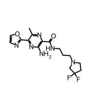 Cc1nc(C(=O)NCCCN2CCC(F)(F)C2)c(N)nc1-c1ncco1